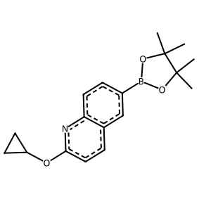 CC1(C)OB(c2ccc3nc(OC4CC4)ccc3c2)OC1(C)C